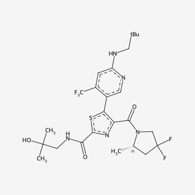 C[C@H]1CC(F)(F)CN1C(=O)c1nc(C(=O)NCC(C)(C)O)sc1-c1cnc(NCC(C)(C)C)cc1C(F)(F)F